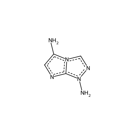 Nc1cnc2n(N)ncn12